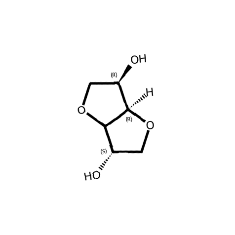 O[C@@H]1COC2[C@@H](O)CO[C@@H]21